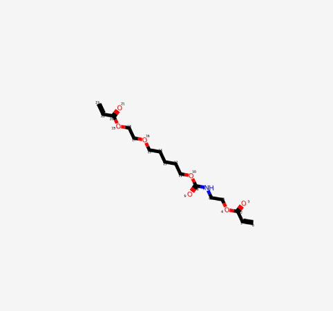 C=CC(=O)OCCNC(=O)OCCCCCOCCOC(=O)C=C